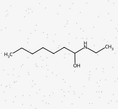 CCCCCCC(O)NCC